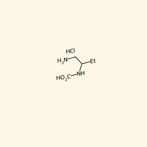 CCC(CN)NC(=O)O.Cl